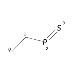 [CH2]CP=S